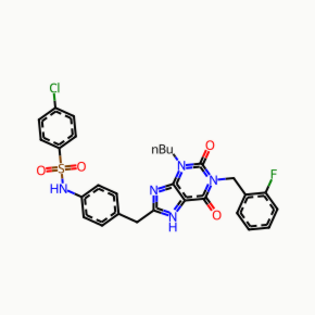 CCCCn1c(=O)n(Cc2ccccc2F)c(=O)c2[nH]c(Cc3ccc(NS(=O)(=O)c4ccc(Cl)cc4)cc3)nc21